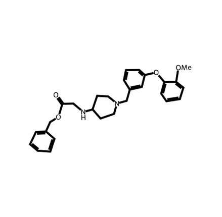 COc1ccccc1Oc1cccc(CN2CCC(NCC(=O)OCc3ccccc3)CC2)c1